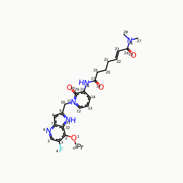 CC(C)Oc1c(F)cnc2cc(Cn3cccc(NC(=O)CCC/C=C/C(=O)N(C)C)c3=O)[nH]c12